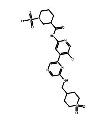 CC(C)S(=O)(=O)N1CCC[C@@H](C(=O)Nc2cc(-c3cncc(NCC4CCS(=O)(=O)CC4)n3)c(Cl)cn2)C1